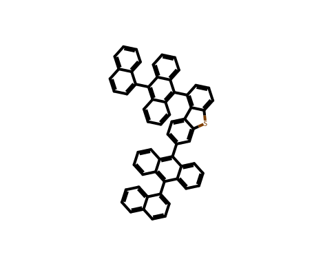 c1ccc2c(-c3c4ccccc4c(-c4ccc5c(c4)sc4cccc(-c6c7ccccc7c(-c7cccc8ccccc78)c7ccccc67)c45)c4ccccc34)cccc2c1